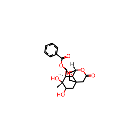 C[C@@H]1CC23CC(=O)O[C@@H]1[C@]2(O)[C@](C)(COC(=O)c1ccccc1)[C@@](C)(O)[C@H](O)C3